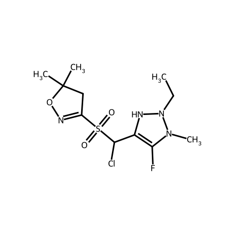 CCN1NC(C(Cl)S(=O)(=O)C2=NOC(C)(C)C2)=C(F)N1C